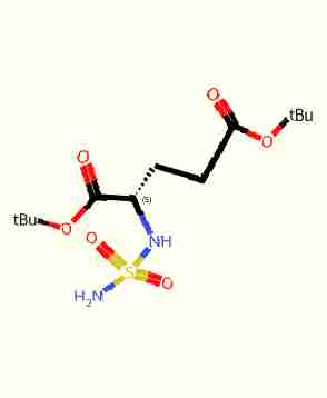 CC(C)(C)OC(=O)CC[C@H](NS(N)(=O)=O)C(=O)OC(C)(C)C